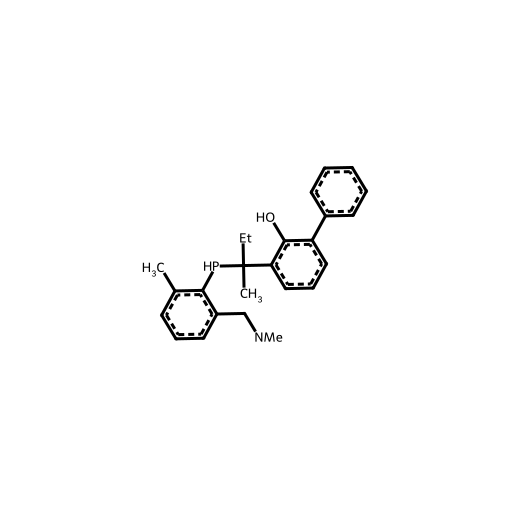 CCC(C)(Pc1c(C)cccc1CNC)c1cccc(-c2ccccc2)c1O